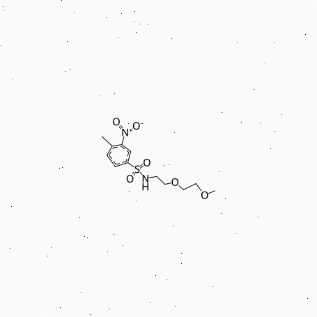 COCCOCCNS(=O)(=O)c1ccc(C)c([N+](=O)[O-])c1